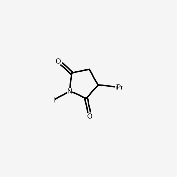 CC(C)C1CC(=O)N(I)C1=O